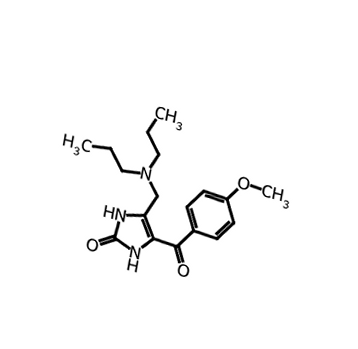 CCCN(CCC)Cc1[nH]c(=O)[nH]c1C(=O)c1ccc(OC)cc1